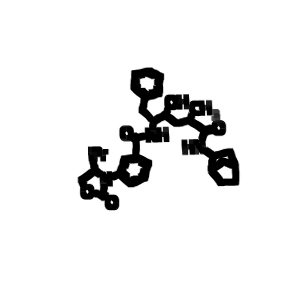 CC(C)C1COC(=O)N1c1cccc(C(=O)N[C@@H](Cc2ccccc2)[C@@H](O)C[C@@H](C)C(=O)NC2CC3CCC2C3)c1